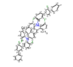 Cc1ccc(F)c(N(c2cc(-c3ccc(-c4ccccc4)c(F)c3)ccc2F)c2ccc3ccc4c(N(c5cc(C)ccc5F)c5cc(-c6cc(-c7ccccc7)ccc6F)ccc5F)ccc5ccc2c3c54)c1